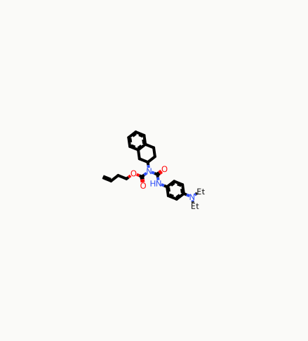 C=CCCOC(=O)N(C(=O)Nc1ccc(N(CC)CC)cc1)C1CCc2ccccc2C1